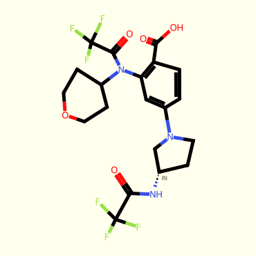 O=C(O)c1ccc(N2CC[C@H](NC(=O)C(F)(F)F)C2)cc1N(C(=O)C(F)(F)F)C1CCOCC1